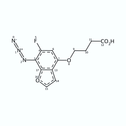 [N-]=[N+]=Nc1c(F)cc(OCCCC(=O)O)c2ccoc12